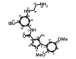 COc1ccc(OC)c(-n2nnc(C(=O)Nc3cc(NCCN)cc(C(C)(C)C)c3)c2C)c1